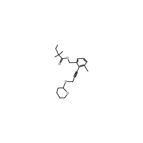 CCC(C)(C)C(=O)OCc1cccc(C)c1C#CCOC1CCCCO1